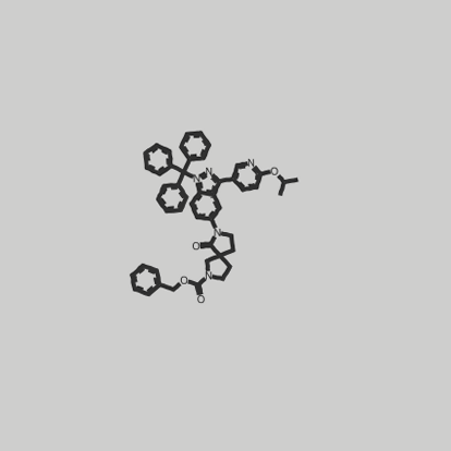 CC(C)Oc1ccc(-c2nn(C(c3ccccc3)(c3ccccc3)c3ccccc3)c3ccc(N4CCC5(CCN(C(=O)OCc6ccccc6)C5)C4=O)cc23)cn1